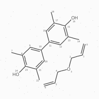 C=CCOCC=C.Cc1cc(-c2cc(C)c(O)c(C)c2)cc(C)c1O